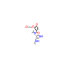 CCNC[C@@H]1CNC[C@H]1CN(C(=O)c1ccc(OC)c(OCCCOC)c1)C(C)C